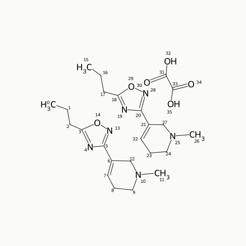 CCCc1nc(C2=CCCN(C)C2)no1.CCCc1nc(C2=CCCN(C)C2)no1.O=C(O)C(=O)O